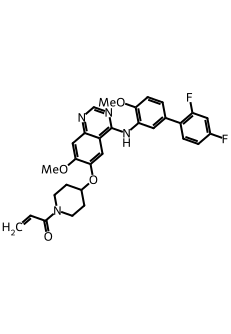 C=CC(=O)N1CCC(Oc2cc3c(Nc4cc(-c5ccc(F)cc5F)ccc4OC)ncnc3cc2OC)CC1